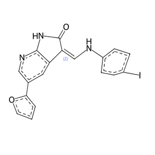 O=C1Nc2ncc(-c3ccco3)cc2/C1=C/Nc1ccc(I)cc1